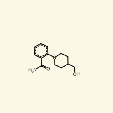 NC(=O)c1ccccc1N1CCC(CO)CC1